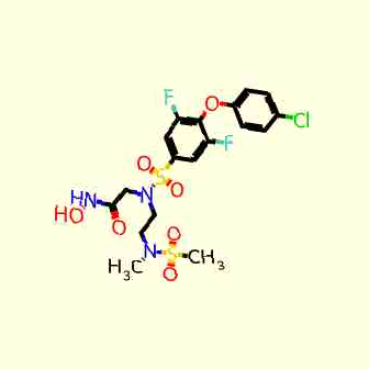 CN(CCN(CC(=O)NO)S(=O)(=O)c1cc(F)c(Oc2ccc(Cl)cc2)c(F)c1)S(C)(=O)=O